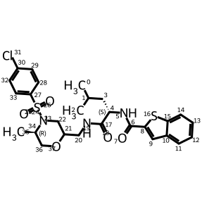 CC(C)C[C@H](NC(=O)c1cc2ccccc2s1)C(=O)NCC1CN(S(=O)(=O)c2ccc(Cl)cc2)[C@H](C)CO1